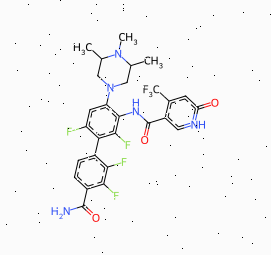 CC1CN(c2cc(F)c(-c3ccc(C(N)=O)c(F)c3F)c(F)c2NC(=O)c2c[nH]c(=O)cc2C(F)(F)F)CC(C)N1C